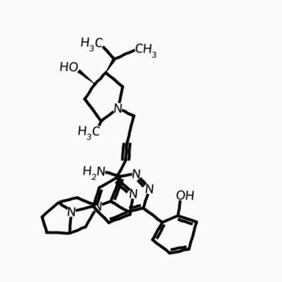 CC(C)[C@H]1CN(CC#Cc2cc(N3C4CCC3CN(c3cc(-c5ccccc5O)nnc3N)C4)ccn2)C(C)C[C@H]1O